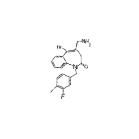 Cc1ccc(CN2C(=O)CC(CN)=C(Br)c3ccccc32)cc1F